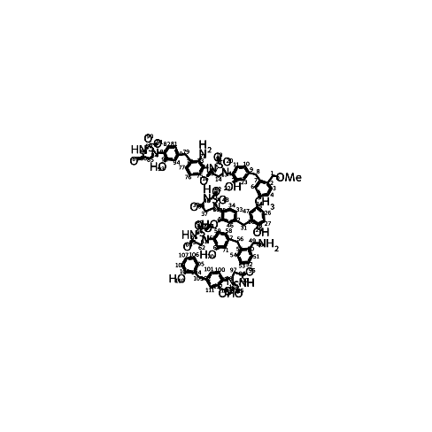 COCc1ccccc1Cc1ccc(N2CC(=O)NS2(=O)=O)c(O)c1.Cc1ccc(O)c(Cc2ccc(N3CC(=O)NS3(=O)=O)c(O)c2)c1.NCc1ccccc1Cc1ccc(N2CC(=O)NS2(=O)=O)c(O)c1.Nc1ccccc1Cc1ccc(N2CC(=O)NS2(=O)=O)c(O)c1.O=C1CN(c2ccc(Cc3ccccc3O)cc2O)S(=O)(=O)N1